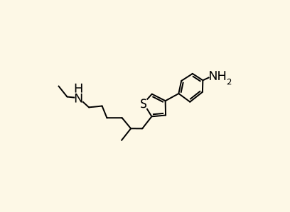 CCNCCCCC(C)Cc1cc(-c2ccc(N)cc2)cs1